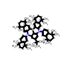 CC(C)(C)c1cc2c3c(c1)N(c1ccc4c(c1)C(C)(C)CCC4(C)C)c1cc4c(cc1B3c1cc3c(cc1N2c1ccc2c(c1)C(C)(C)CCC2(C)C)C(C)(C)CCC3(C)C)C(C)(C)CCC4(C)C